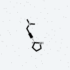 CN(C)CC#C[C@H]1CCCN1